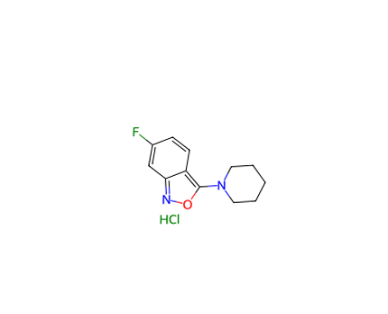 Cl.Fc1ccc2c(N3CCCCC3)onc2c1